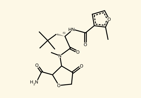 Cc1occc1C(=O)N[C@@H](CC(C)(C)C)C(=O)N(C)C1C(=O)COC1C(N)=O